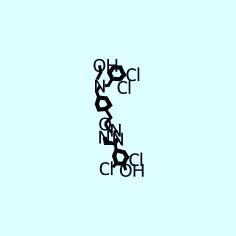 OCCN(Cc1ccc(COc2ncc(-c3cc(Cl)c(O)c(Cl)c3)nn2)cc1)Cc1cccc(Cl)c1Cl